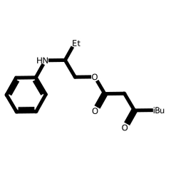 CCC(COC(=O)CC(=O)C(C)CC)Nc1ccccc1